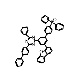 O=P(c1ccccc1)(c1ccccc1)c1ccc(-c2cc(-c3nc(-c4ccccc4)nc(-c4ccc(-c5ccccc5)cc4)n3)cc(-c3cccc4c3oc3ccccc34)c2)cc1